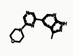 Cc1n[nH]c2ncc(-c3cncc(N4CCOCC4)n3)cc12